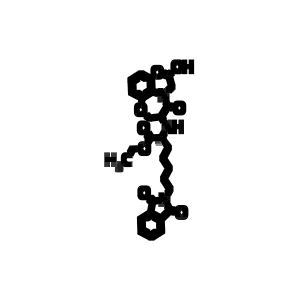 CCOC(=O)[C@H](CCCCCN1C(=O)c2ccccc2C1=O)NC1COc2ccccc2N(CC(=O)O)C1=O